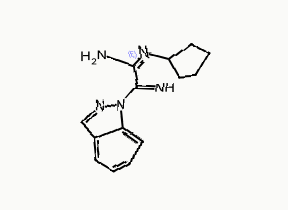 N=C(/C(N)=N\C1CCCC1)n1ncc2ccccc21